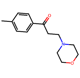 Cc1ccc(C(=O)CCN2CCOCC2)cc1